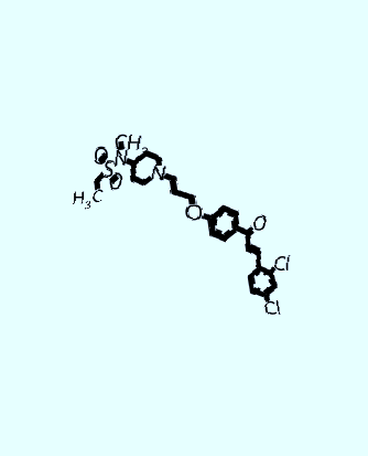 CCS(=O)(=O)N(C)C1CCN(CCCOc2ccc(C(=O)C=Cc3ccc(Cl)cc3Cl)cc2)CC1